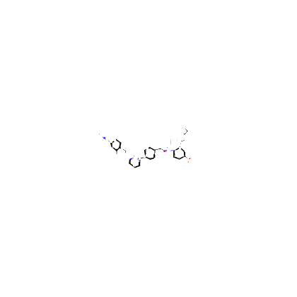 N#Cc1ccc(COc2cccc(-c3ccc(CC(=O)Nc4ccc(C(=O)O)cc4NC[C@@H]4CCO4)cc3)n2)c(F)c1